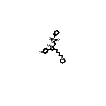 Cn1c(-c2ccc(Cl)cc2)cc(CCCCCN2CCCCC2)c1/C=C1\SC(=S)N(C2CC3CCC2C3)C1=O